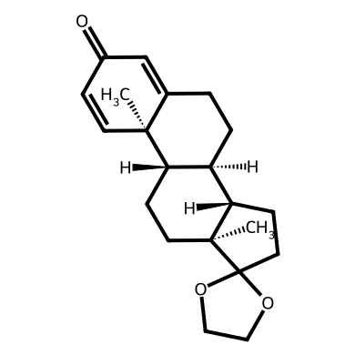 C[C@]12C=CC(=O)C=C1CC[C@@H]1[C@@H]2CC[C@@]2(C)[C@H]1CCC21OCCO1